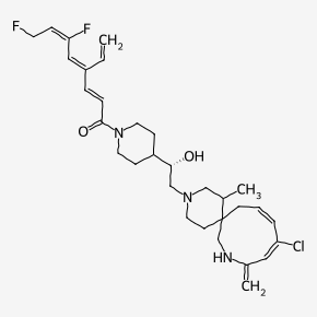 C=CC(/C=C/C(=O)N1CCC([C@H](O)CN2CCC3(C/C=C\C(Cl)=C/C(=C)NC3)C(C)C2)CC1)=C\C(F)=C/CF